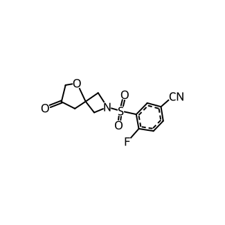 N#Cc1ccc(F)c(S(=O)(=O)N2CC3(CC(=O)CO3)C2)c1